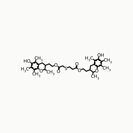 Cc1c(C)c2c(c(C)c1O)CC(CCOC(=O)CCSCC(=O)OCCC1Cc3c(C)c(O)c(C)c(C)c3OC1C)C(C)O2